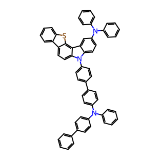 c1ccc(-c2ccc(N(c3ccccc3)c3ccc(-c4ccc(-n5c6ccc(N(c7ccccc7)c7ccccc7)cc6c6c7sc8ccccc8c7ccc65)cc4)cc3)cc2)cc1